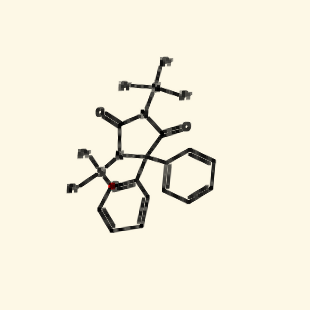 CC(C)[Si](C(C)C)(C(C)C)N1C(=O)N([Si](C(C)C)(C(C)C)C(C)C)C(c2ccccc2)(c2ccccc2)C1=O